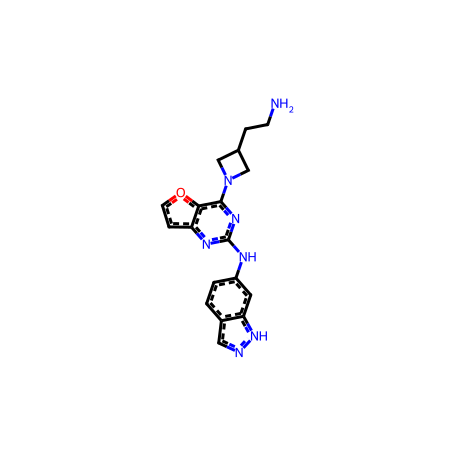 NCCC1CN(c2nc(Nc3ccc4cn[nH]c4c3)nc3ccoc23)C1